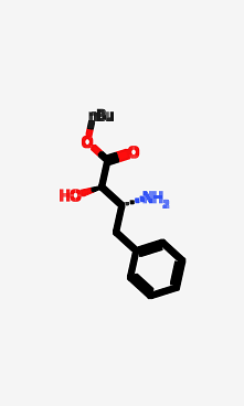 CCCCOC(=O)[C@H](O)[C@H](N)Cc1ccccc1